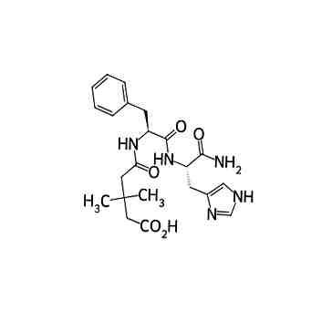 CC(C)(CC(=O)O)CC(=O)N[C@@H](Cc1ccccc1)C(=O)N[C@@H](Cc1c[nH]cn1)C(N)=O